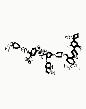 CC1(C)CCC(CN2CCN(c3ccc(C(=O)NS(=O)(=O)c4ccc(NC[C@H]5CC[C@](C)(O)CC5)c([N+](=O)[O-])c4)c(Oc4cnc5[nH]ccc5c4)c3)CC2)=C(c2cc(-c3c(F)cc(C4(O)CCC4)cc3F)cs2)C1